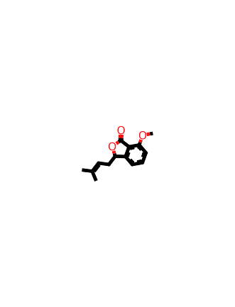 COc1cccc2c1C(=O)OC2CC=C(C)C